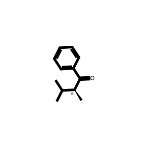 CC(C)[C@H](C)C(=O)c1ccccc1